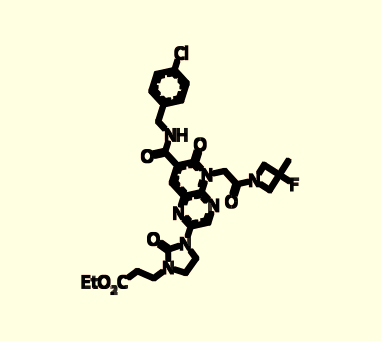 CCOC(=O)CCN1CCN(c2cnc3c(cc(C(=O)NCc4ccc(Cl)cc4)c(=O)n3CC(=O)N3CC(C)(F)C3)n2)C1=O